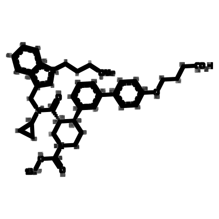 COCCCn1cc(CN(C(=O)[C@H]2CN(C(=O)OC(C)(C)C)CC[C@@H]2c2cccc(-c3ccc(OCCCC(=O)O)cc3)c2)C2CC2)c2ccccc21